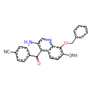 COc1ccc2c(C(=O)c3ccc(C#N)cc3)c(N)cnc2c1OCc1ccccc1